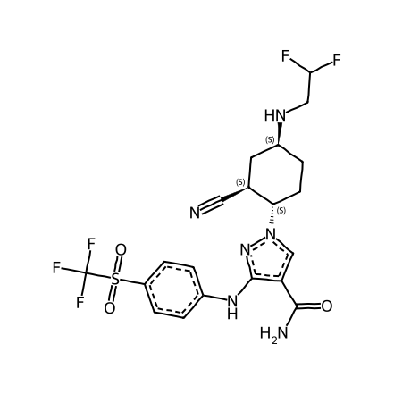 N#C[C@H]1C[C@@H](NCC(F)F)CC[C@@H]1n1cc(C(N)=O)c(Nc2ccc(S(=O)(=O)C(F)(F)F)cc2)n1